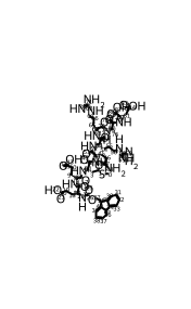 CSCC[C@H](NC(=O)[C@H](CCC(=O)O)NC(=O)[C@H](CCC(=O)O)NC(=O)OCC1c2ccccc2-c2ccccc21)C(=O)N[C@@H](CCC(N)=O)C(=O)N[C@@H](CCCNC(=N)N)C(=O)N[C@@H](CCCNC(=N)N)C(=O)N[C@@H](C)C(=O)N[C@@H](CC(=O)O)C(=O)O